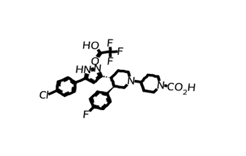 O=C(O)C(F)(F)F.O=C(O)N1CCC(N2CC[C@@H](c3cc(-c4ccc(Cl)cc4)[nH]n3)[C@H](c3ccc(F)cc3)C2)CC1